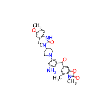 COc1ccc2c(c1)CCN(C1CCN(c3cc(N)cc(C(=O)c4cc(C)c5c(c4)oc(=O)n5C)c3)CC1)C(=O)N2